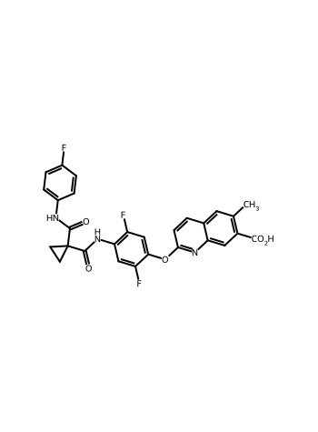 Cc1cc2ccc(Oc3cc(F)c(NC(=O)C4(C(=O)Nc5ccc(F)cc5)CC4)cc3F)nc2cc1C(=O)O